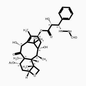 CC(=O)O[C@H]1C[C@H]2OC[C@@]2(C)[C@H]2[C@H](C)[C@]3(O)C[C@H](OC(=O)[C@H](O)[C@@H](NBC=O)c4ccccc4)C(C)=C([C@@H](O)C(=O)[C@]12C)C3(C)C